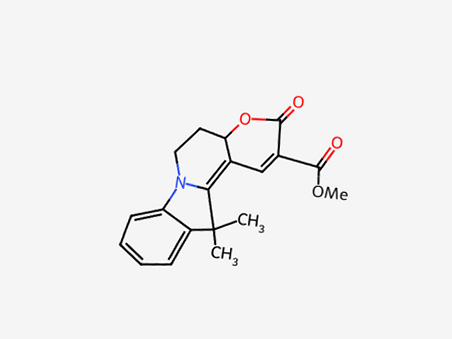 COC(=O)C1=CC2=C3N(CCC2OC1=O)c1ccccc1C3(C)C